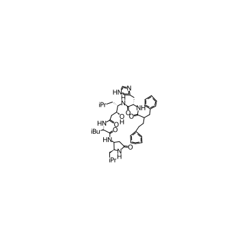 CC[C@H](C)[C@H](NC(=O)C[C@H](O)[C@H](CC(C)C)NC(=O)[C@H](Cc1c[nH]cn1)NC(=O)C(CCc1ccccc1)Cc1ccccc1)C(=O)N[C@H]1CC(=O)N[C@H]1CC(C)C